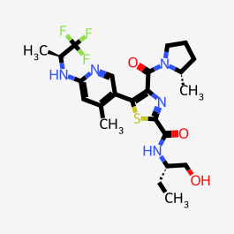 CC[C@@H](CO)NC(=O)c1nc(C(=O)N2CCC[C@@H]2C)c(-c2cnc(N[C@@H](C)C(F)(F)F)cc2C)s1